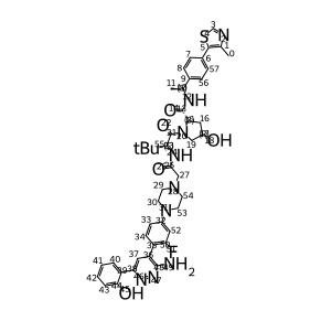 Cc1ncsc1-c1ccc([C@H](C)NC(=O)[C@@H]2C[C@@H](O)CN2C(=O)[C@@H](NC(=O)CN2CCN(c3ccc(-c4cc(-c5ccccc5O)nnc4N)c(F)c3)CC2)C(C)(C)C)cc1